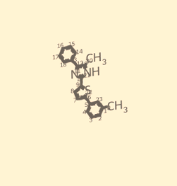 Cc1cccc(-c2ccc(-c3nc(-c4ccccc4)c(C)[nH]3)s2)c1